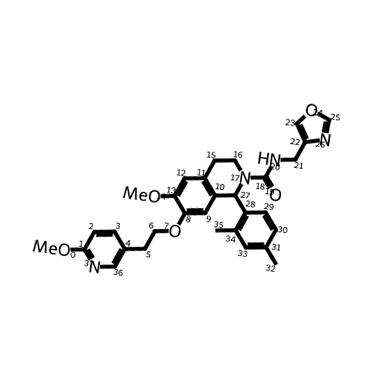 COc1ccc(CCOc2cc3c(cc2OC)CCN(C(=O)NCc2cocn2)C3c2ccc(C)cc2C)cn1